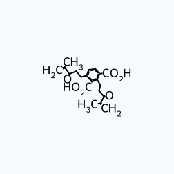 C=C(C)C(=O)CCc1ccc(C(=O)O)c(CCC(=O)C(=C)C)c1C(=O)O